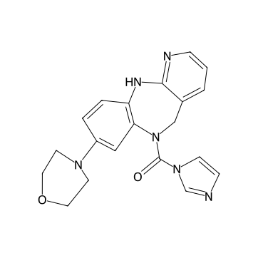 O=C(N1Cc2cccnc2Nc2ccc(N3CCOCC3)cc21)n1ccnc1